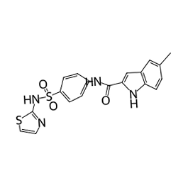 Cc1ccc2[nH]c(C(=O)Nc3ccc(S(=O)(=O)Nc4nccs4)cc3)cc2c1